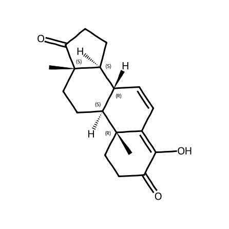 C[C@]12CCC(=O)C(O)=C1C=C[C@@H]1[C@@H]2CC[C@]2(C)C(=O)CC[C@@H]12